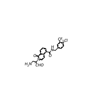 NC[C@H](C=O)n1ccc2c(C(=O)NCc3ccc(Cl)c(C(F)(F)F)c3)cccc2c1=O